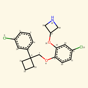 Clc1cccc(C2(COc3ccc(Cl)cc3OC3CNC3)CCC2)c1